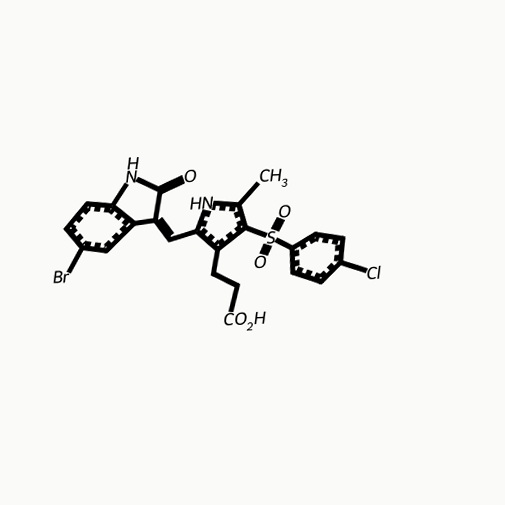 Cc1[nH]c(/C=C2\C(=O)Nc3ccc(Br)cc32)c(CCC(=O)O)c1S(=O)(=O)c1ccc(Cl)cc1